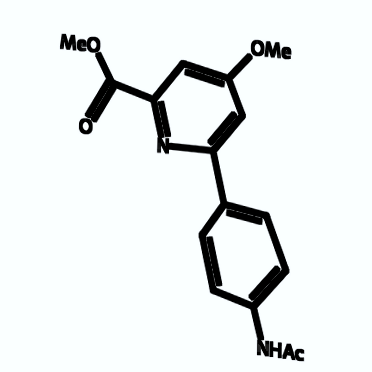 COC(=O)c1cc(OC)cc(-c2ccc(NC(C)=O)cc2)n1